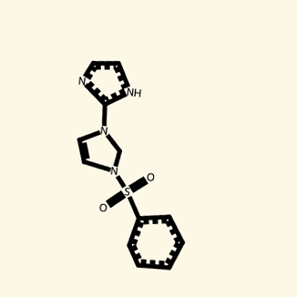 O=S(=O)(c1ccccc1)N1C=CN(c2ncc[nH]2)C1